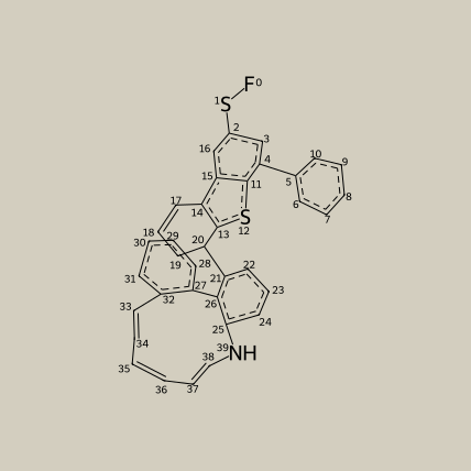 FSc1cc(-c2ccccc2)c2sc3c(c2c1)C=CCC3c1cccc2c1-c1ccccc1\C=C/C=C\C=C\N2